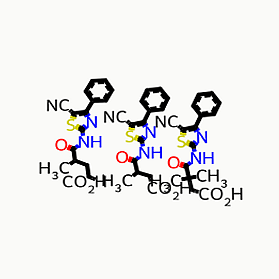 CC(C)(CC(=O)O)C(=O)Nc1nc(-c2ccccc2)c(C#N)s1.CC(CC(=O)O)C(=O)Nc1nc(-c2ccccc2)c(C#N)s1.CC(CCC(=O)O)C(=O)Nc1nc(-c2ccccc2)c(C#N)s1